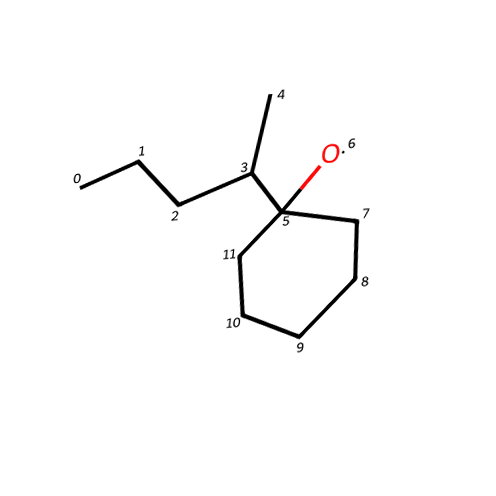 CCCC(C)C1([O])CCCCC1